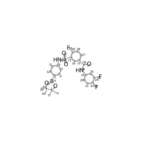 CC1(C)OB(c2ccc(NS(=O)(=O)c3cc(C(=O)Nc4ccc(F)c(F)c4)ccc3F)cc2)OC1(C)C